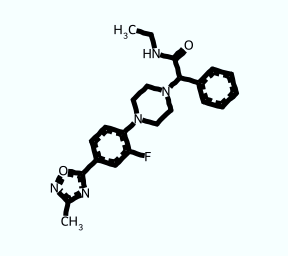 CCNC(=O)C(c1ccccc1)N1CCN(c2ccc(-c3nc(C)no3)cc2F)CC1